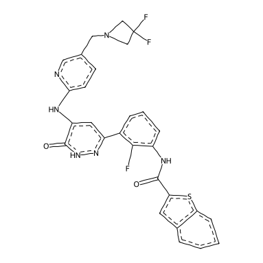 O=C(Nc1cccc(-c2cc(Nc3ccc(CN4CC(F)(F)C4)cn3)c(=O)[nH]n2)c1F)c1cc2ccccc2s1